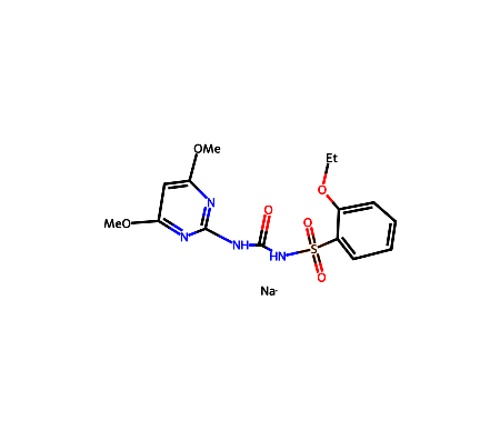 CCOc1ccccc1S(=O)(=O)NC(=O)Nc1nc(OC)cc(OC)n1.[Na]